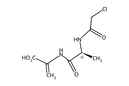 C=C(NC(=O)[C@H](C)NC(=O)CCl)C(=O)O